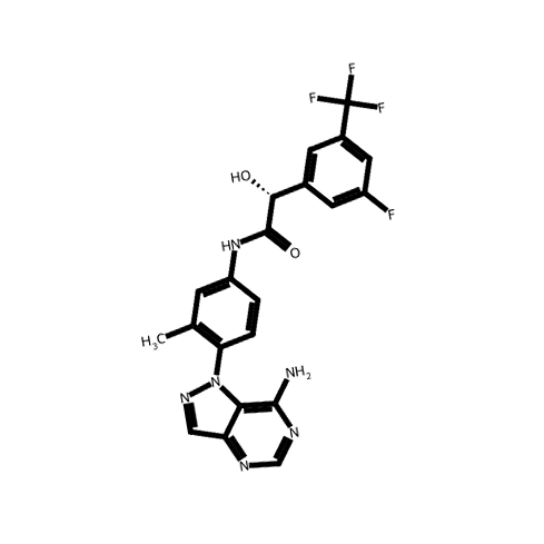 Cc1cc(NC(=O)[C@H](O)c2cc(F)cc(C(F)(F)F)c2)ccc1-n1ncc2ncnc(N)c21